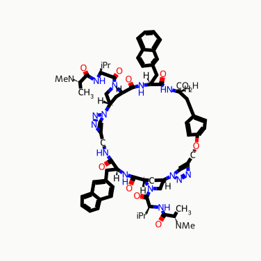 CN[C@@H](C)C(=O)N[C@H](C(=O)N1C[C@@H]2C[C@H]1C(=O)N[C@@H](Cc1ccc3ccccc3c1)C(=O)NCc1cn(nn1)[C@H]1C[C@@H](C(=O)N[C@@H](Cc3ccc4ccccc4c3)C(=O)N[C@H](C(=O)O)Cc3ccc(cc3)OCc3cn2nn3)N(C(=O)[C@@H](NC(=O)[C@H](C)NC)C(C)C)C1)C(C)C